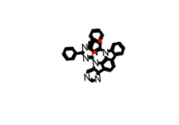 c1ccc(-c2nc(-c3ccccc3)nc(-n3c4cncnc4c4ccc5c6ccccc6n(-c6ccccc6)c5c43)n2)cc1